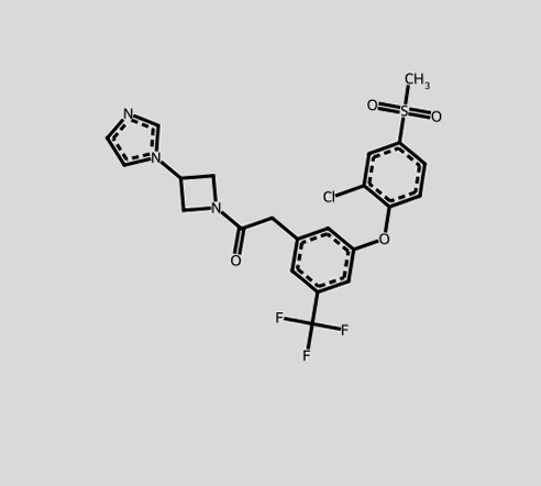 CS(=O)(=O)c1ccc(Oc2cc(CC(=O)N3CC(n4ccnc4)C3)cc(C(F)(F)F)c2)c(Cl)c1